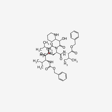 CC(C)C[C@H](C(=O)N[C@H](C(=O)OCc1ccccc1)C(C)C)N(C(=O)C(O)C1CCCCN1)C(=O)[C@@H](NC(=O)[C@@H](NC(=O)OCc1ccccc1)C(C)C)C(C)C